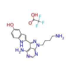 NCCCCn1nc(-c2cc3cc(O)ccc3[nH]2)c2c(N)ncnc21.O=C(O)C(F)(F)F